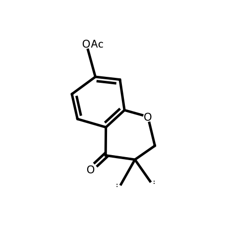 [CH]C1([CH])COc2cc(OC(C)=O)ccc2C1=O